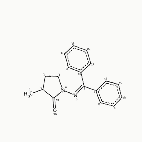 CC1CCN(N=C(c2ccccc2)c2ccccc2)C1=O